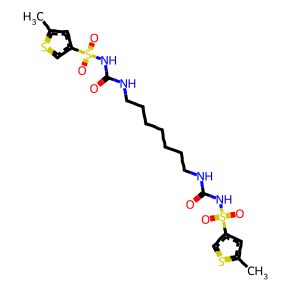 Cc1cc(S(=O)(=O)NC(=O)NCCCCCCCNC(=O)NS(=O)(=O)c2csc(C)c2)cs1